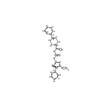 Cc1cc(CNCC(=O)N2CCN(c3ccccc3)CC2)nn1-c1ccccc1